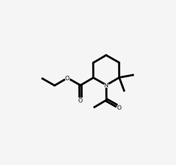 CCOC(=O)C1CCCC(C)(C)N1C(C)=O